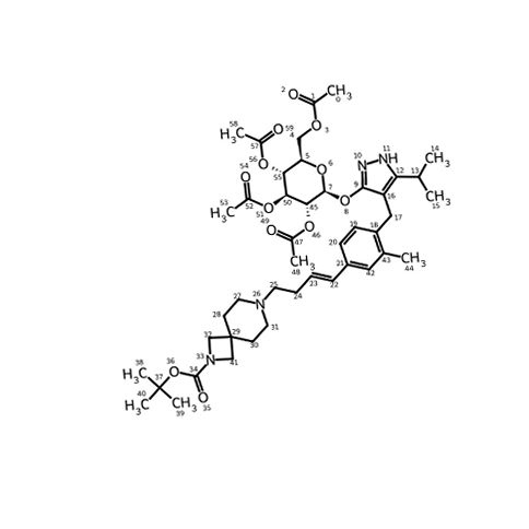 CC(=O)OC[C@H]1O[C@@H](Oc2n[nH]c(C(C)C)c2Cc2ccc(/C=C/CCN3CCC4(CC3)CN(C(=O)OC(C)(C)C)C4)cc2C)[C@H](OC(C)=O)[C@@H](OC(C)=O)[C@@H]1OC(C)=O